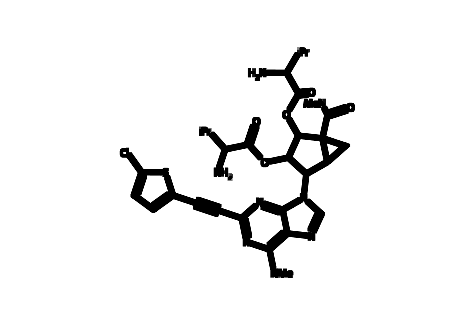 CNC(=O)C12CC1C(n1cnc3c(NC)nc(C#Cc4ccc(Cl)s4)nc31)C(OC(=O)C(N)C(C)C)C2OC(=O)C(N)C(C)C